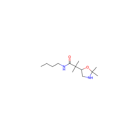 CCCCNC(=O)C(C)(C)C1CNC(C)(C)O1